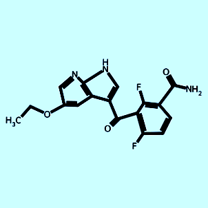 CCOc1cnc2[nH]cc(C(=O)c3c(F)ccc(C(N)=O)c3F)c2c1